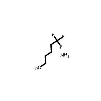 OCCCCC(F)(F)F.[AlH3]